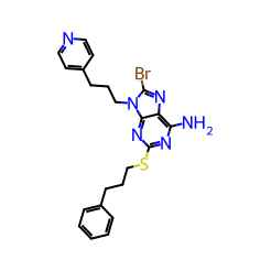 Nc1nc(SCCCc2ccccc2)nc2c1nc(Br)n2CCCc1ccncc1